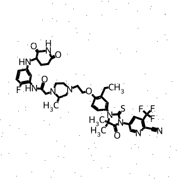 CCc1cc(N2C(=S)N(c3cnc(C#N)c(C(F)(F)F)c3)C(=O)C2(C)C)ccc1OCCN1CCN(CC(=O)Nc2cc(NC3CCC(=O)NC3=O)ccc2F)C(C)C1